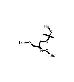 CC(C)(C)O/N=C(/CSC(C)(C)C)CSC(C)(C)SS